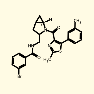 Cc1cccc(-c2sc(C)nc2C(=O)N2C(CNC(=O)c3cccc(Br)c3)CC3C[C@@H]32)c1